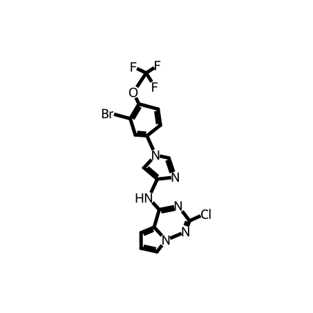 FC(F)(F)Oc1ccc(-n2cnc(Nc3nc(Cl)nn4cccc34)c2)cc1Br